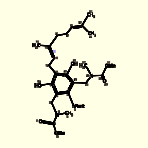 CCCCCc1c(CN(C)C(=O)OC)c(O)c(C/C=C(\C)CCC=C(C)C)c(O)c1CN(C)C(=O)OC